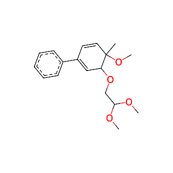 COC(COC1C=C(c2ccccc2)C=CC1(C)OC)OC